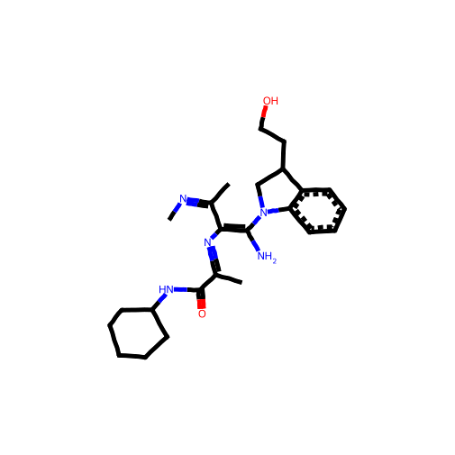 C/N=C(/C)C(/N=C(\C)C(=O)NC1CCCCC1)=C(N)N1CC(CCO)c2ccccc21